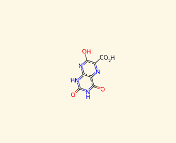 O=C(O)c1nc2c(=O)[nH]c(=O)[nH]c2nc1O